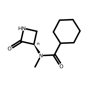 CN(C(=O)C1CCCCC1)[C@@H]1CNC1=O